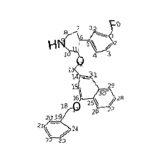 Fc1cccc(C2CCNCC2OCc2cc(OCc3ccccc3)c3ccccc3c2)c1